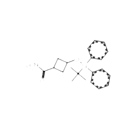 CC(C)(C)[Si](OC1CC(C(N)=O)C1)(c1ccccc1)c1ccccc1